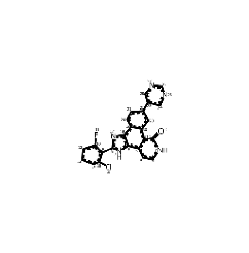 O=c1[nH]ccc2c3[nH]c(-c4c(F)cccc4Cl)nc3c3ccc(-c4cncnc4)cc3c12